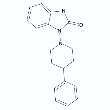 O=C1[N]c2ccccc2N1N1CCC(c2ccccc2)CC1